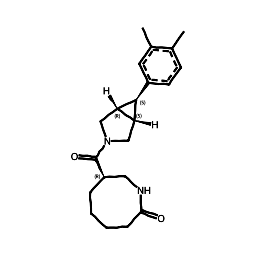 Cc1ccc([C@H]2[C@@H]3CN(C(=O)[C@@H]4CCCCC(=O)NC4)C[C@@H]32)cc1C